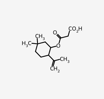 C=C(C)C1CCC(C)(C)CC1OC(=O)CC(=O)O